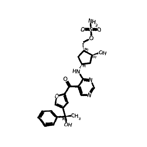 C[C@@](O)(c1ccccc1)c1coc(C(=O)c2cncnc2N[C@@H]2C[C@H](COS(N)(=O)=O)[C@@H](O)C2)c1